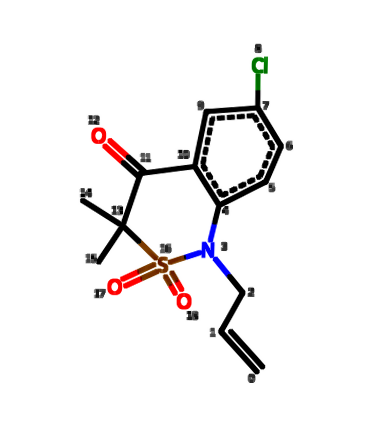 C=CCN1c2ccc(Cl)cc2C(=O)C(C)(C)S1(=O)=O